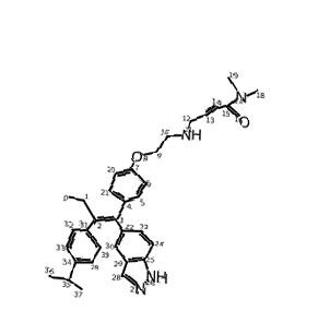 CCC(=C(c1ccc(OCCNCC=CC(=O)N(C)C)cc1)c1ccc2[nH]ncc2c1)c1ccc(C(C)C)cc1